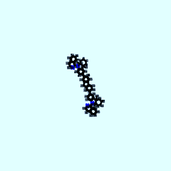 CC12CCCCC1(C)N(c1nccc3ccccc13)c1ccc(-c3ccc4c(c3)Cc3cc(-c5ccc6c(c5)C5(C)CCCCC5(C)N6c5nccc6ccccc56)ccc3-4)cc12